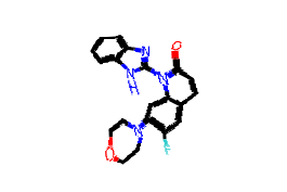 O=c1ccc2cc(F)c(N3CCOCC3)cc2n1-c1nc2ccccc2[nH]1